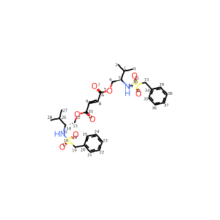 CC(C)[C@H](COC(=O)/C=C/C(=O)OC[C@H](NS(=O)(=O)Cc1ccccc1)C(C)C)NS(=O)(=O)Cc1ccccc1